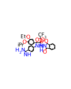 CCOc1cc(C(Nc2ccc(C(=N)N)cc2)(OC(=O)C(F)(F)F)C(=O)NN2C(=O)c3ccccc3C2=O)ccc1OC(C)C